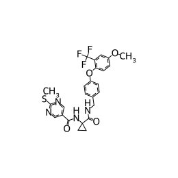 COc1ccc(Oc2ccc(CNC(=O)C3(NC(=O)c4cnc(SC)nc4)CC3)cc2)c(C(F)(F)F)c1